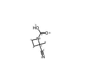 CC1(C#N)CCN1C(=O)O